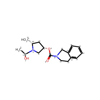 CB(O)N1C[C@@H](OC(=O)N2CCc3ccccc3C2)C[C@H]1C(=O)O